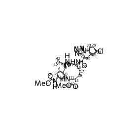 COC(=O)Nc1ccc2c(c1)N[C@@H](C(=O)OC)CCCC[C@H](NC(=O)/C=C/c1cc(Cl)ccc1-n1cnnn1)c1nc-2c(C2CC2)[nH]1